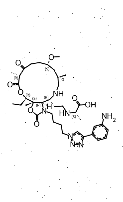 CC[C@H]1OC(=O)[C@H](C)C(=O)CC[C@H](OC)C[C@@H](C)CN[C@H](CCN[C@@H](C)C(=O)O)[C@H]2N(CCCCn3cc(-c4cccc(N)c4)nn3)C(=O)O[C@]12C